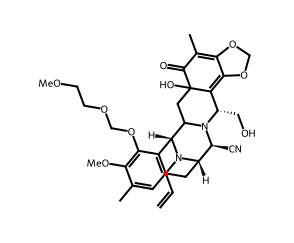 C=CCN1[C@@H]2c3c(cc(C)c(OC)c3OCOCCOC)C[C@H]1[C@H](C#N)N1C2CC2(O)C(=O)C(C)=C3OCOC3=C2[C@@H]1CO